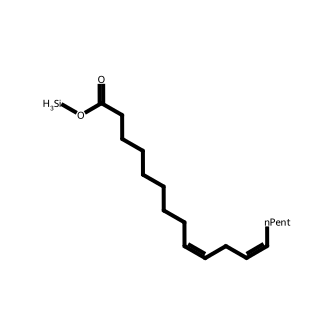 CCCCC/C=C\C/C=C\CCCCCCCC(=O)O[SiH3]